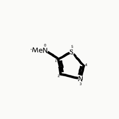 C[N]c1cncs1